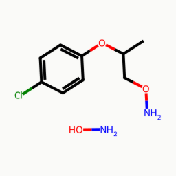 CC(CON)Oc1ccc(Cl)cc1.NO